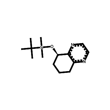 CC(C)(C)[Si](C)(C)O[C@@H]1CCCc2nccnc21